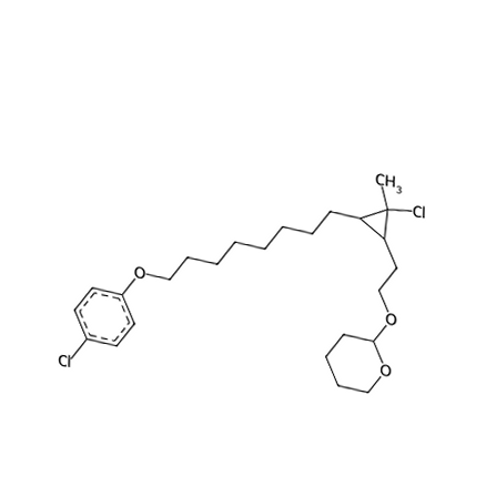 CC1(Cl)C(CCCCCCCCOc2ccc(Cl)cc2)C1CCOC1CCCCO1